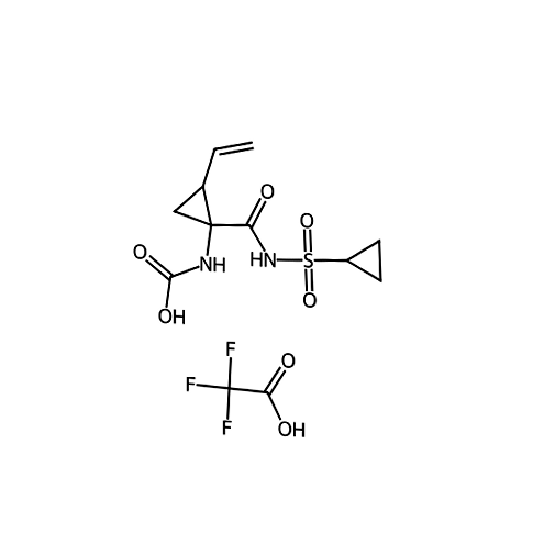 C=CC1CC1(NC(=O)O)C(=O)NS(=O)(=O)C1CC1.O=C(O)C(F)(F)F